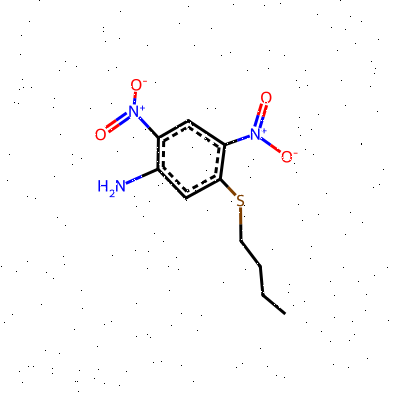 CCCCSc1cc(N)c([N+](=O)[O-])cc1[N+](=O)[O-]